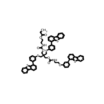 C=CC(=O)OCCNC(=O)OCC(COC(=O)NCCOc1cccc(-c2cccc3c2sc2ccccc23)c1)(CSc1cccc(-c2cccc3c2sc2ccccc23)c1)CSc1cccc(-c2cccc3c2sc2ccccc23)c1